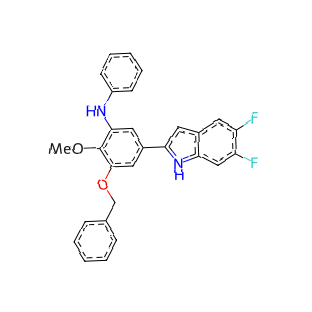 COc1c(Nc2ccccc2)cc(-c2cc3cc(F)c(F)cc3[nH]2)cc1OCc1ccccc1